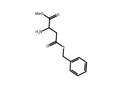 COC(=O)C(N)CC(=O)SCc1ccccc1